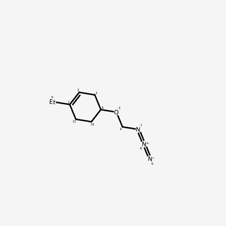 CCC1=CCC(OCN=[N+]=[N-])CC1